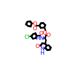 O=C(NC(Cc1cc(=O)[nH]c2ccccc12)C(=O)OCc1cccc(C(=O)Oc2ccccc2)c1)c1ccc(Cl)cc1